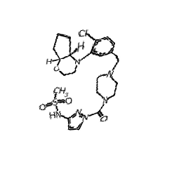 CS(=O)(=O)Nc1ccn(C(=O)N2CCN(Cc3ccc(Cl)c(N4CCO[C@@H]5CCC[C@@H]54)c3)CC2)n1